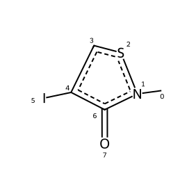 Cn1scc(I)c1=O